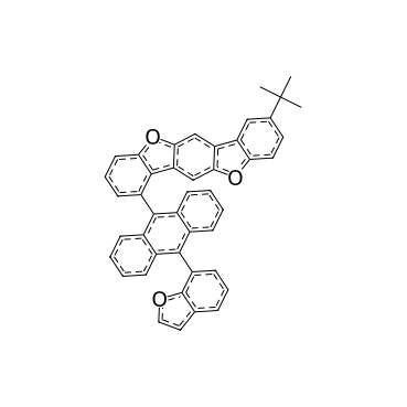 CC(C)(C)c1ccc2oc3cc4c(cc3c2c1)oc1cccc(-c2c3ccccc3c(-c3cccc5ccoc35)c3ccccc23)c14